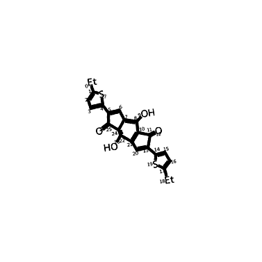 CCc1ccc(-c2cc3c(O)c4c(=O)c(-c5ccc(CC)s5)cc4c(O)c3c2=O)s1